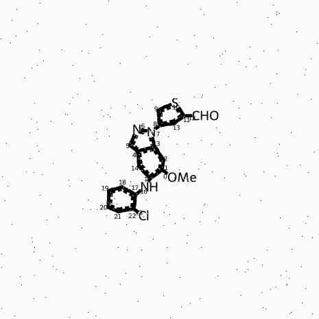 COc1cc2c(cnn2-c2csc(C=O)c2)cc1Nc1ccccc1Cl